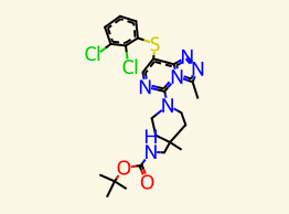 Cc1nnc2c(Sc3cccc(Cl)c3Cl)cnc(N3CCC(C)(CNC(=O)OC(C)(C)C)CC3)n12